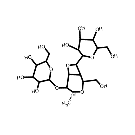 C[C@H]1OC(CO)C2C(C3OC(CO)C(O)C(O)C3O)OC2C1OC1OC(CO)C(O)C(O)C1O